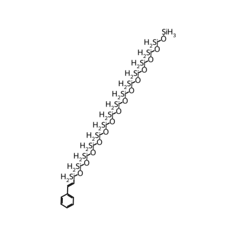 [SiH3]O[SiH2]O[SiH2]O[SiH2]O[SiH2]O[SiH2]O[SiH2]O[SiH2]O[SiH2]O[SiH2]O[SiH2]O[SiH2]O[SiH2]O[SiH2]O[SiH2]C=Cc1ccccc1